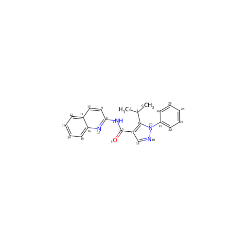 CC(C)c1c(C(=O)Nc2ccc3ccccc3n2)cnn1-c1ccccc1